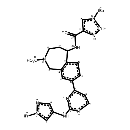 CC(C)n1cc(Nc2nccc(-c3ccc4c(c3)CN(C(=O)O)CCC4NC(=O)c3cn(C(C)(C)C)nn3)n2)cn1